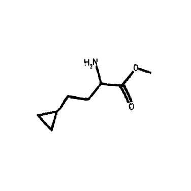 COC(=O)C(N)CCC1CC1